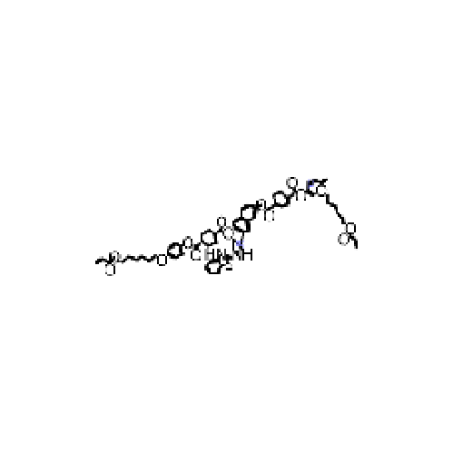 C=CC(=O)OCCCCCCOC(=C)/C=C\C(=C)OC(=O)C1CCC(C(=O)Oc2ccc3cc(OC(=O)C4CCC(C(=O)Oc5ccc(OCCCCCCOC(=O)C=C)cc5)CC4)c(/C=N/NC4Nc5ccccc5S4)cc3c2)CC1